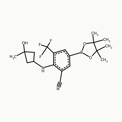 CC1(O)CC(Nc2c(C#N)cc(B3OC(C)(C)C(C)(C)O3)cc2C(F)(F)F)C1